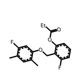 CCC(=O)Oc1cccc(F)c1COc1cc(F)c(C)cc1C